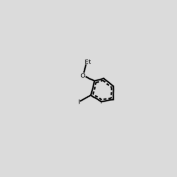 CCOc1ccc[c]c1I